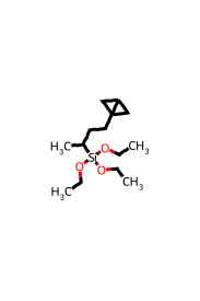 CCO[Si](OCC)(OCC)C(C)CCC12CC1C2